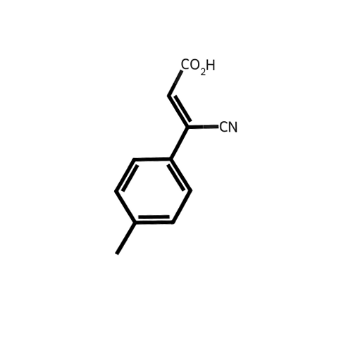 Cc1ccc(/C(C#N)=C/C(=O)O)cc1